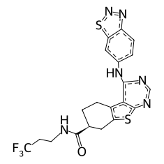 O=C(NCCC(F)(F)F)[C@H]1CCc2c(sc3ncnc(Nc4ccc5nnsc5c4)c23)C1